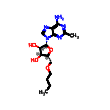 CCCCOC[C@H]1O[C@@H](n2cnc3c(N)nc(C)nc32)[C@H](O)[C@@H]1O